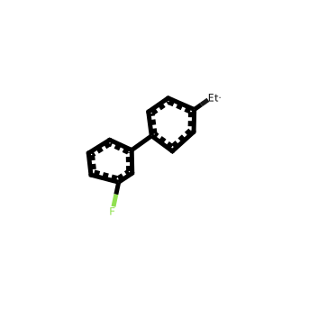 C[CH]c1ccc(-c2cccc(F)c2)cc1